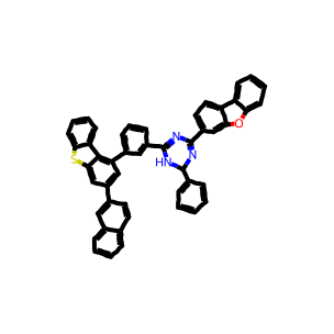 c1ccc(C2N=C(c3ccc4c(c3)oc3ccccc34)N=C(c3cccc(-c4cc(-c5ccc6ccccc6c5)cc5sc6ccccc6c45)c3)N2)cc1